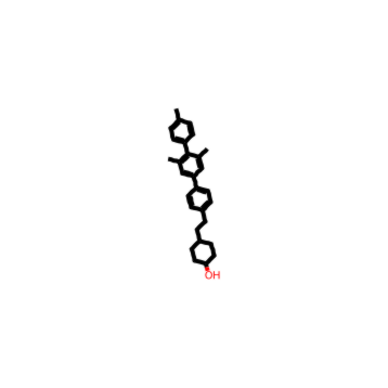 Cc1ccc(-c2c(C)cc(-c3ccc(CCC4CCC(O)CC4)cc3)cc2C)cc1